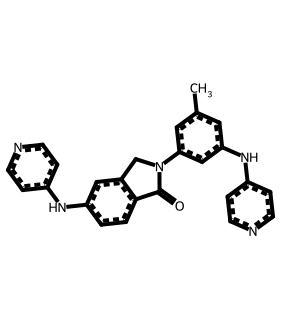 Cc1cc(Nc2ccncc2)cc(N2Cc3cc(Nc4ccncc4)ccc3C2=O)c1